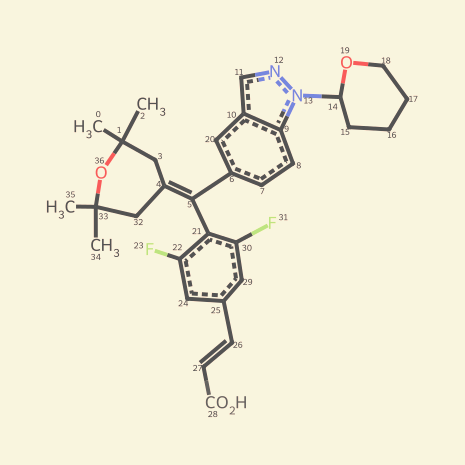 CC1(C)CC(=C(c2ccc3c(cnn3C3CCCCO3)c2)c2c(F)cc(C=CC(=O)O)cc2F)CC(C)(C)O1